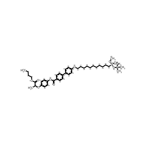 CCCCOC(=O)C(C)Oc1ccc(OC(=O)c2ccc(-c3ccc(OCCCCCCCCCCC[Si](C)(OC)O[Si](C)(C)C)cc3)cc2)cc1